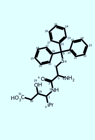 CC(C)C(NC(=O)C(N)CSC(c1ccccc1)(c1ccccc1)c1ccccc1)C(O)CC(=O)O